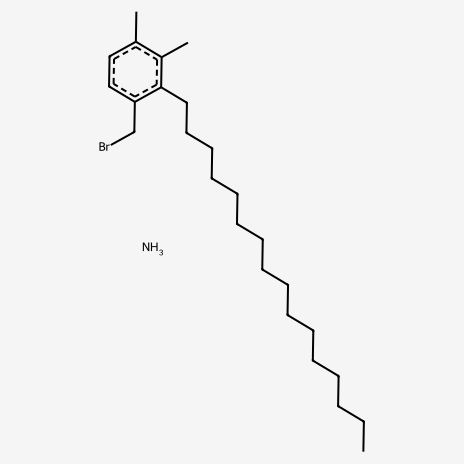 CCCCCCCCCCCCCCCCc1c(CBr)ccc(C)c1C.N